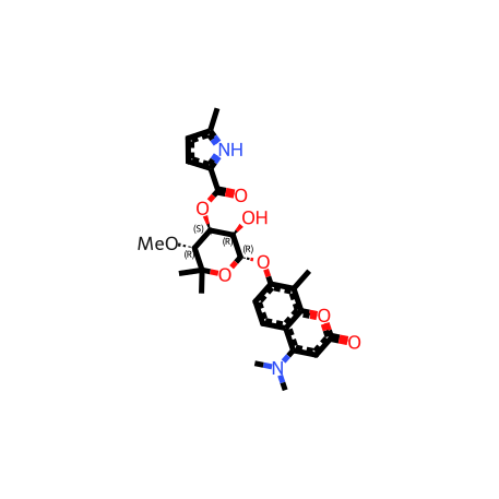 CO[C@@H]1[C@@H](OC(=O)c2ccc(C)[nH]2)[C@@H](O)[C@H](Oc2ccc3c(N(C)C)cc(=O)oc3c2C)OC1(C)C